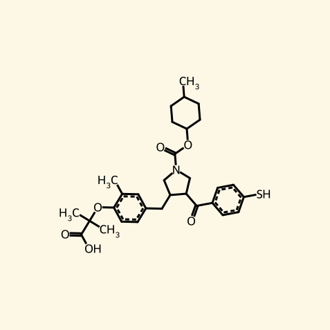 Cc1cc(CC2CN(C(=O)OC3CCC(C)CC3)CC2C(=O)c2ccc(S)cc2)ccc1OC(C)(C)C(=O)O